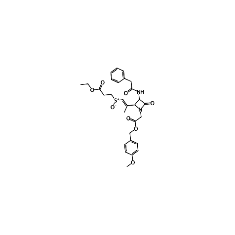 CCOC(=O)CC[S+]([O-])C=C(C)C1C(NC(=O)Cc2ccccc2)C(=O)N1CC(=O)OCc1ccc(OC)cc1